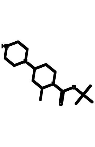 CC1CC(N2CCNCC2)CCN1C(=O)OC(C)(C)C